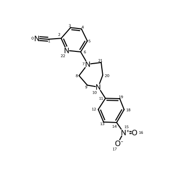 N#Cc1cccc(N2CCN(c3ccc([N+](=O)[O-])cc3)CC2)n1